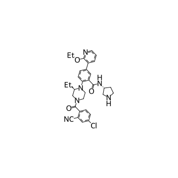 CCOc1ncccc1-c1ccc(N2CCN(C(=O)c3ccc(Cl)cc3C#N)C[C@H]2CC)c(C(=O)N[C@@H]2CCNC2)c1